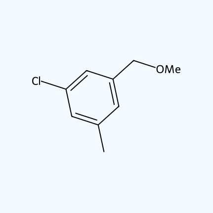 COCc1cc(C)cc(Cl)c1